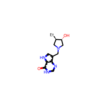 CC[C@@H]1CN(Cc2c[nH]c3c(=O)[nH]cnc23)C[C@H]1O